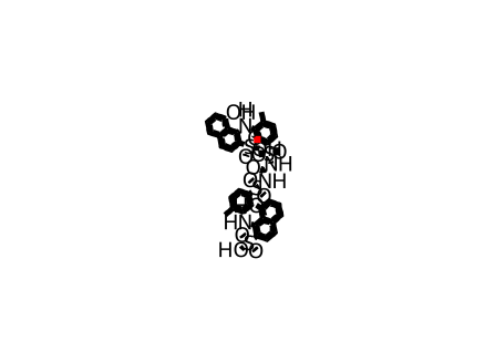 Cc1ccc(S(=O)(=O)NC(=O)NS(=O)(=O)c2ccc(C)c(Nc3c(S(=O)(=O)O)ccc4cccc(O)c34)c2)cc1Nc1c(S(=O)(=O)O)ccc2cccc(O)c12